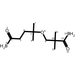 BC(=O)CCC(C)(C)OCC(C)(C)C(B)=O